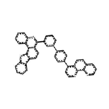 c1cc(-c2ccc(-c3ccnc4c3ccc3cccnc34)cc2)cc(-c2nc3ccccc3c3c2ccc2c4ccccc4sc23)c1